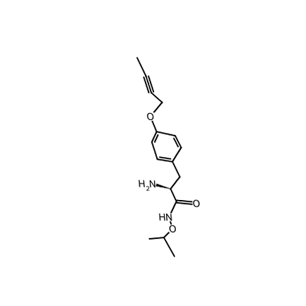 CC#CCOc1ccc(C[C@H](N)C(=O)NOC(C)C)cc1